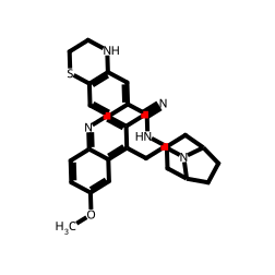 COc1ccc2ncc(C#N)c(CCN3C4CCC3CC(NCc3ccc5c(c3)NCCS5)C4)c2c1